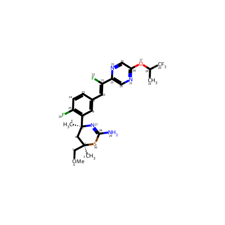 COC[C@@]1(C)C[C@@](C)(c2cc(/C=C(\F)c3cnc(OC(C)C(F)(F)F)cn3)ccc2F)N=C(N)S1